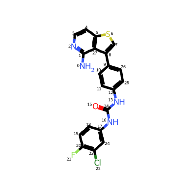 Nc1nccc2scc(-c3ccc(NC(=O)Nc4ccc(F)c(Cl)c4)cc3)c12